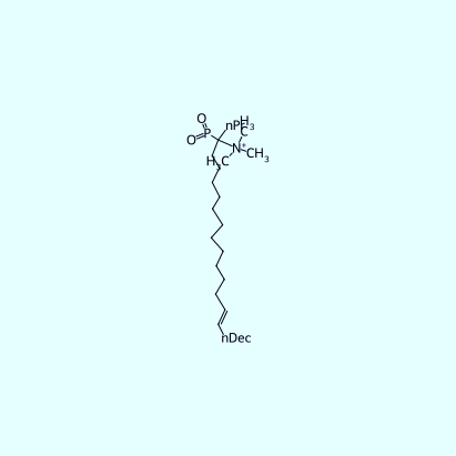 CCCCCCCCCCC=CCCCCCCCCCCCC(CCC)(P(=O)=O)[N+](C)(C)C